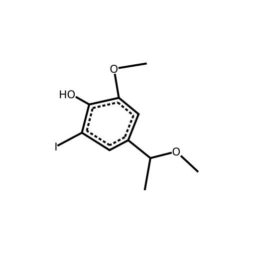 COc1cc(C(C)OC)cc(I)c1O